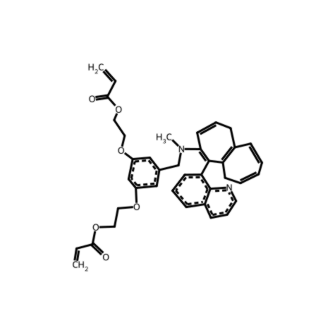 C=CC(=O)OCCOc1cc(CN(C)C2=C(c3cccc4cccnc34)C3=C(C=CC=CC3)CC=C2)cc(OCCOC(=O)C=C)c1